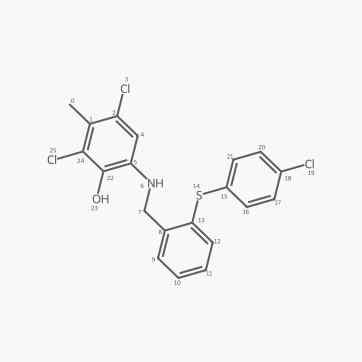 Cc1c(Cl)cc(NCc2ccccc2Sc2ccc(Cl)cc2)c(O)c1Cl